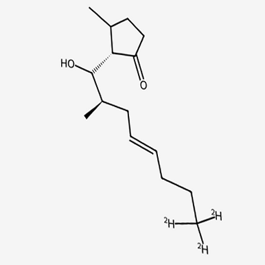 [2H]C([2H])([2H])CCC=CC[C@@H](C)C(O)[C@H]1C(=O)CCC1C